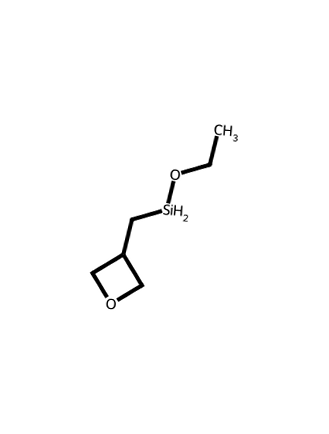 CCO[SiH2]CC1COC1